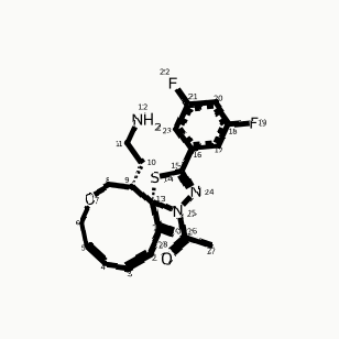 C=C1/C=C\C=C/COC[C@H](CCN)[C@]12SC(c1cc(F)cc(F)c1)=NN2C(C)=O